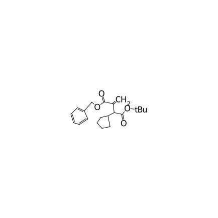 C=C(C(=O)OCc1ccccc1)C(C(=O)OC(C)(C)C)C1CCCC1